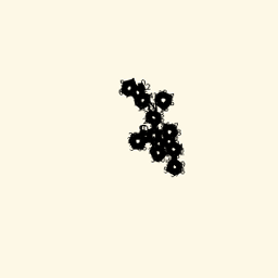 CC1(C)c2ccccc2-c2ccc(N(c3ccccc3)c3ccc(-c4cc5c(c6c4sc4ccccc46)-c4ccccc4C54c5ccccc5-c5ccc(-c6ccccc6)cc54)cc3)cc21